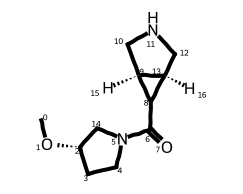 CO[C@H]1CCN(C(=O)C2[C@H]3CNC[C@@H]23)C1